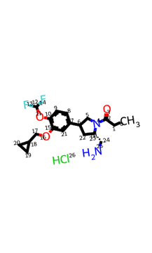 CCC(=O)N1CC(c2ccc(OC(F)F)c(OCC3CC3)c2)C[C@H]1CN.Cl